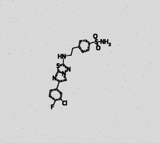 NS(=O)(=O)c1ccc(CCNc2nn3cc(-c4ccc(F)c(Cl)c4)nc3s2)cc1